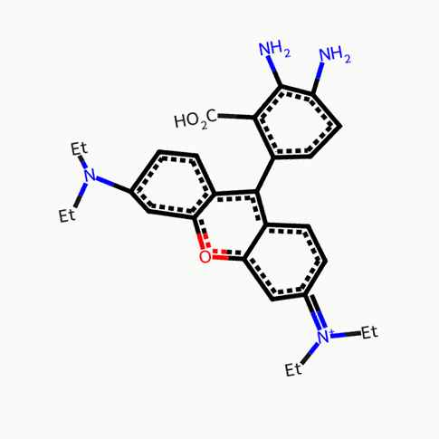 CCN(CC)c1ccc2c(-c3ccc(N)c(N)c3C(=O)O)c3ccc(=[N+](CC)CC)cc-3oc2c1